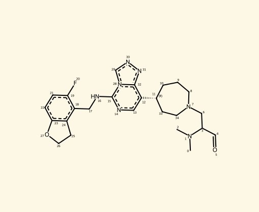 CN(C)C(C=O)CN1CCC[C@@H](c2cnc(NCc3c(F)ccc4c3CCO4)n3cnnc23)CC1